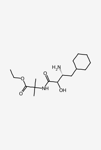 CCOC(=O)C(C)(C)NC(=O)C(O)[C@H](N)CC1CCCCC1